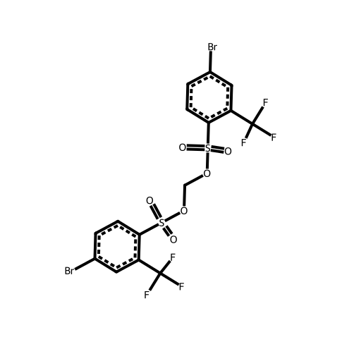 O=S(=O)(OCOS(=O)(=O)c1ccc(Br)cc1C(F)(F)F)c1ccc(Br)cc1C(F)(F)F